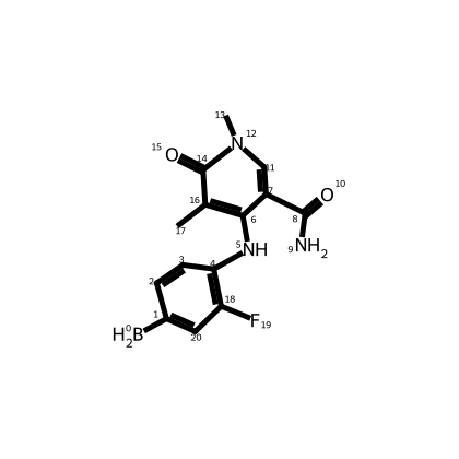 Bc1ccc(Nc2c(C(N)=O)cn(C)c(=O)c2C)c(F)c1